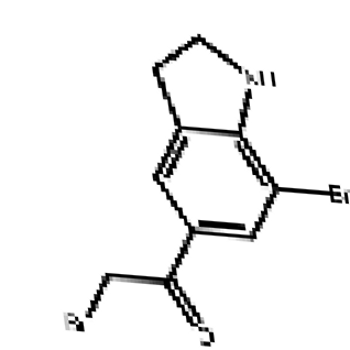 O=C(CBr)c1cc(Br)c2c(c1)CCN2